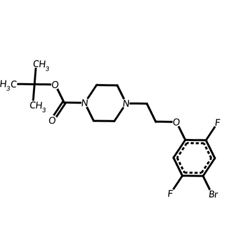 CC(C)(C)OC(=O)N1CCN(CCOc2cc(F)c(Br)cc2F)CC1